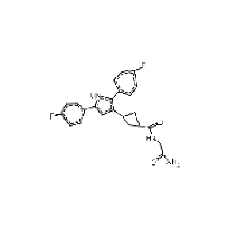 NC(=O)CNC(=O)C1CC(c2cc(-c3ccc(F)cc3)[nH]c2-c2ccc(F)cc2)C1